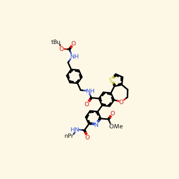 CCCNC(=O)c1ccc(-c2cc3c(cc2C(=O)NCc2ccc(CNC(=O)OC(C)(C)C)cc2)-c2sccc2CCO3)c(C(=O)OC)n1